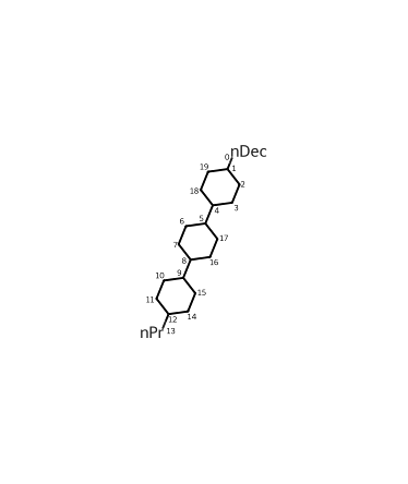 CCCCCCCCCCC1CCC(C2CCC(C3CCC(CCC)CC3)CC2)CC1